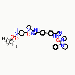 CC(C)(C)OC(=O)NC1CCC(C(=O)N2CCC[C@H]2c2ncc(-c3ccc(-c4ccc(-c5cnc([C@@H]6CCCN6C(=O)[C@@H](c6ccccc6)N6CCCCC6)[nH]5)cc4)cc3)[nH]2)CC1